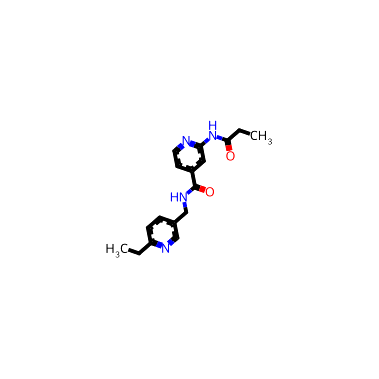 CCC(=O)Nc1cc(C(=O)NCc2ccc(CC)nc2)ccn1